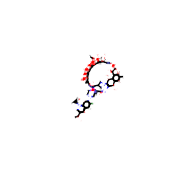 COc1c(N2CCN(C(=O)C3CN(C4=C5NC(=O)/C(C)=C\C=C\[C@H](C)[C@H](O)[C@@H](C)[C@@H](O)[C@@H](C)[C@H](OC(C)=O)[C@H](C)[C@@H](OC)/C=C/O[C@@]6(C)Oc7c(C)c(O)c(c(c7C6=O)C4=O)C5=O)C3)CC2)c(F)cc2c(=O)c(C(C)=O)cn(C3CC3)c12